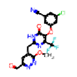 COc1nnc(C=O)cc1Cc1nc(C(F)(F)F)c(Oc2cc(Cl)cc(C#N)c2)c(=O)[nH]1